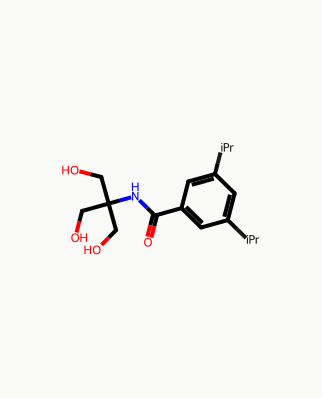 CC(C)c1cc(C(=O)NC(CO)(CO)CO)cc(C(C)C)c1